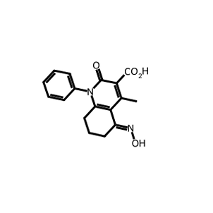 Cc1c2c(n(-c3ccccc3)c(=O)c1C(=O)O)CCCC2=NO